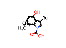 O=C(O)n1c[c]([Ru])c2c(O)cccc21.[CH2]C